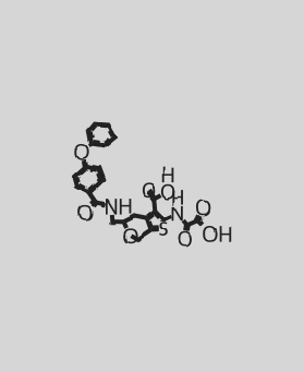 O=C(O)C(=O)Nc1sc2c(c1C(=O)O)CC(CNC(=O)c1ccc(Oc3ccccc3)cc1)OC2